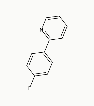 Fc1ccc(-c2[c]cccn2)cc1